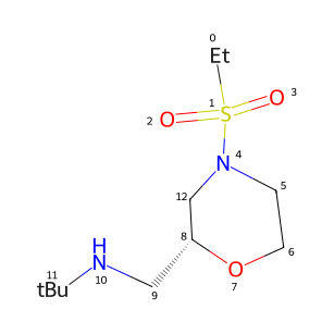 CCS(=O)(=O)N1CCO[C@H](CNC(C)(C)C)C1